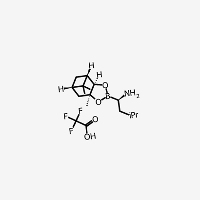 CC(C)C[C@H](N)B1O[C@@H]2[C@H]3C[C@@H](C[C@]2(C)O1)C3(C)C.O=C(O)C(F)(F)F